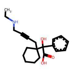 CCNCC#CCC1(C(O)(C(=O)O)c2ccccc2)CCCCC1